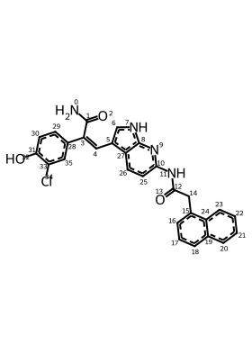 NC(=O)C(=Cc1c[nH]c2nc(NC(=O)Cc3cccc4ccccc34)ccc12)c1ccc(O)c(Cl)c1